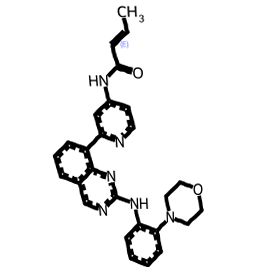 C/C=C/C(=O)Nc1ccnc(-c2cccc3cnc(Nc4ccccc4N4CCOCC4)nc23)c1